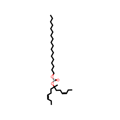 CC/C=C\CCC(C)(CC/C=C\CC)O[Si](=O)OCCCCCCCCCCCCCCCCCC